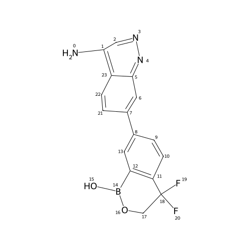 Nc1cnnc2cc(-c3ccc4c(c3)B(O)OCC4(F)F)ccc12